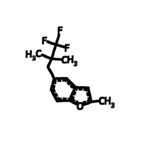 Cc1cc2cc(CC(C)(C)C(F)(F)F)ccc2o1